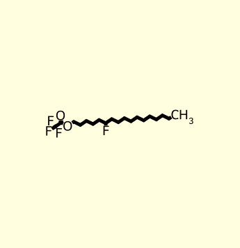 CCCCCCCCCCCC(F)CCCCCOC(=O)C(F)(F)F